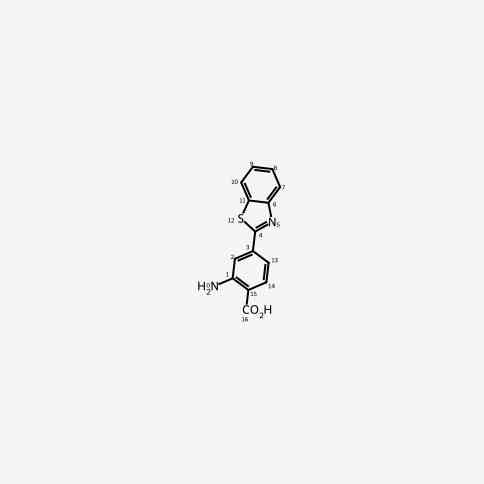 Nc1cc(-c2nc3ccccc3s2)ccc1C(=O)O